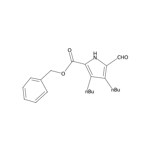 CCCCc1c(C=O)[nH]c(C(=O)OCc2ccccc2)c1CCCC